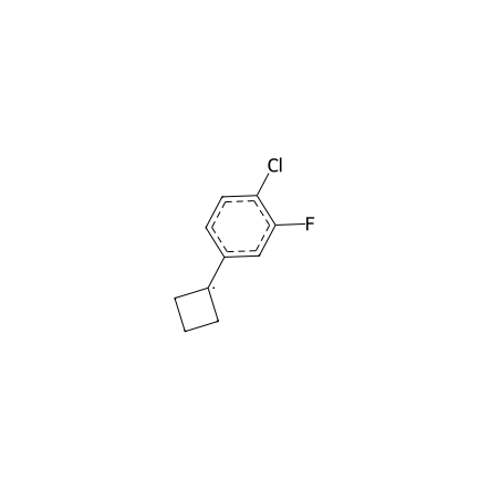 Fc1cc([C]2CCC2)ccc1Cl